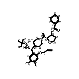 C=CCOc1cc(C)c(Cl)cc1[C@H](N[S@@+]([O-])C(C)(C)C)C1CCN(C(=O)[C@@H]2OCC[C@@H]2OC(=O)c2ccccc2)CC1